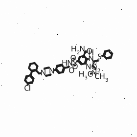 CN(C)CC[C@H](CSc1ccccc1)Nc1c(C(N)=O)cc(S(=O)(=O)NC(=O)c2ccc(N3CCN(CC4=C(c5ccc(Cl)cc5)CCCC4)CC3)cc2)cc1[N+](=O)[O-]